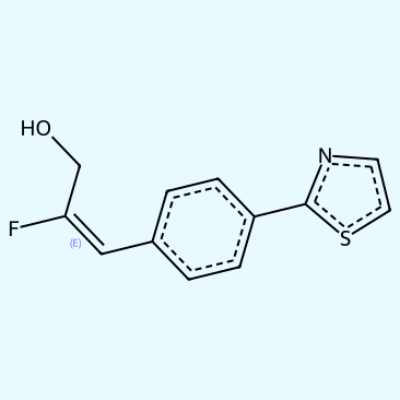 OC/C(F)=C\c1ccc(-c2nccs2)cc1